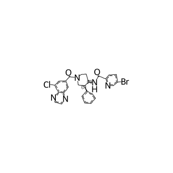 O=C(N[C@@H]1CCN(C(=O)c2cc(Cl)c3nccnc3c2)C[C@@H]1c1ccccc1)c1ccc(Br)cn1